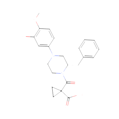 COc1ccc(N2CCN(C(=O)C3(C(=O)O)CC3)[C@@H](Cc3ccccc3)C2)cc1O